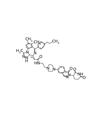 CCCc1ccc(C2=N[C@@H](CC(=O)NCCN3CCN(c4ccc5c(=O)n(C6CCC(=O)NC6=O)ncc5c4)CC3)C3NN=C(C)N3c3sc(C)c(C)c32)cc1